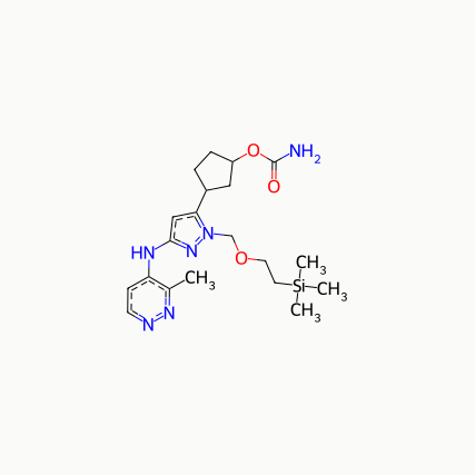 Cc1nnccc1Nc1cc(C2CCC(OC(N)=O)C2)n(COCC[Si](C)(C)C)n1